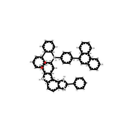 c1ccc(-c2nc3ccc4oc5ccc(N(c6ccc(-c7cc8ccccc8c8ccccc78)cc6)c6ccccc6-c6ccccc6)cc5c4c3s2)cc1